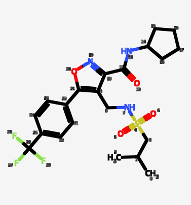 CC(C)CS(=O)(=O)NCc1c(C(=O)NC2CCCC2)noc1-c1ccc(C(F)(F)F)cc1